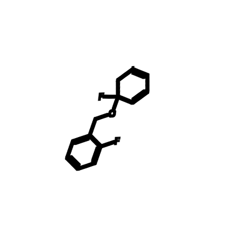 Fc1ccccc1COC1(F)C=CC=[C]C1